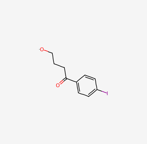 [O]CCCC(=O)c1ccc(I)cc1